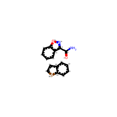 NC(=O)c1noc2ccccc12.c1ccc2sccc2c1